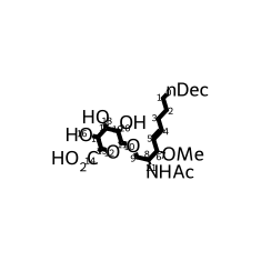 CCCCCCCCCCCCC/C=C/[C@H](OC)[C@H](COC1OC(C(=O)O)C(O)C(O)C1O)NC(C)=O